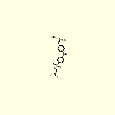 CCOC(=O)C(C)=Cc1ccc(Nc2ccc(S(=O)(=O)N=CN(C)C)cc2)cc1